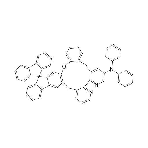 c1ccc(N(c2ccccc2)c2cnc3c(c2)Cc2ccccc2Oc2cc4c(cc2Cc2cccnc2-3)-c2ccccc2C42c3ccccc3-c3ccccc32)cc1